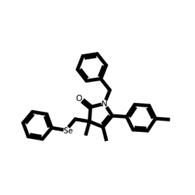 CC1=C(c2ccc(C)cc2)N(Cc2ccccc2)C(=O)C1(C)C[Se]c1ccccc1